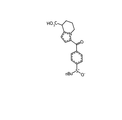 CCCC[S+]([O-])c1ccc(C(=O)c2ccc3n2CCCC3C(=O)O)cc1